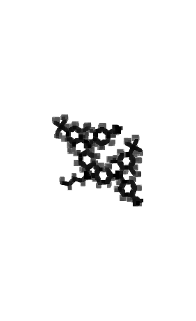 CCCCn1c2ccc(N(c3ccc(Br)cc3)c3c(C)cc(C(C)(C)C)cc3C)cc2c2cc(N(c3ccc(Br)cc3)c3c(C)cc(C(C)(C)C)cc3C)ccc21